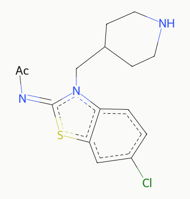 CC(=O)/N=c1/sc2cc(Cl)ccc2n1CC1CCNCC1